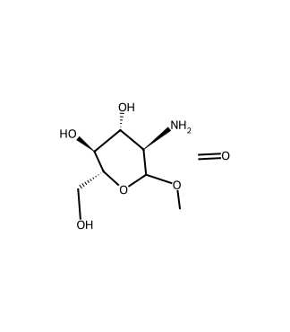 C=O.COC1O[C@H](CO)[C@@H](O)[C@H](O)[C@H]1N